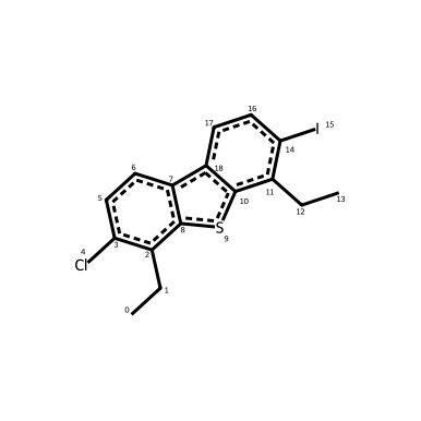 CCc1c(Cl)ccc2c1sc1c(CC)c(I)ccc12